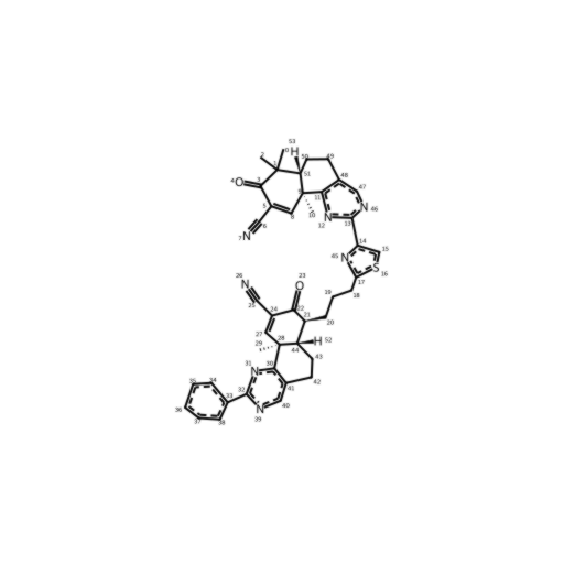 CC1(C)C(=O)C(C#N)=C[C@]2(C)c3nc(-c4csc(CCC[C@@H]5C(=O)C(C#N)=C[C@]6(C)c7nc(-c8ccccc8)ncc7CC[C@@H]56)n4)ncc3CC[C@@H]12